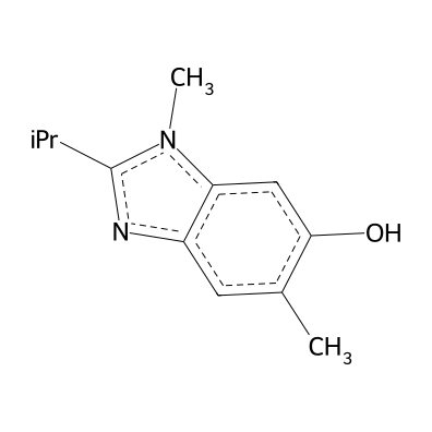 Cc1cc2nc(C(C)C)n(C)c2cc1O